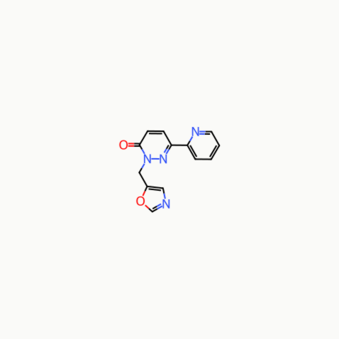 O=c1ccc(-c2ccccn2)nn1Cc1cnco1